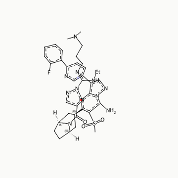 CCN/C(=N\CCCN(C)C)n1ncc(C(=O)N2[C@@H]3CC[C@H]2C[C@@H](c2nc4c(-c5ccc(-c6ccccc6F)nc5)cnn4c(N)c2S(C)(=O)=O)C3)n1